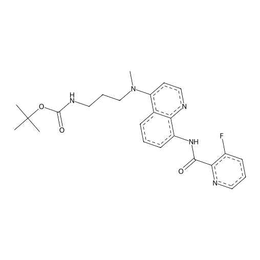 CN(CCCNC(=O)OC(C)(C)C)c1ccnc2c(NC(=O)c3ncccc3F)cccc12